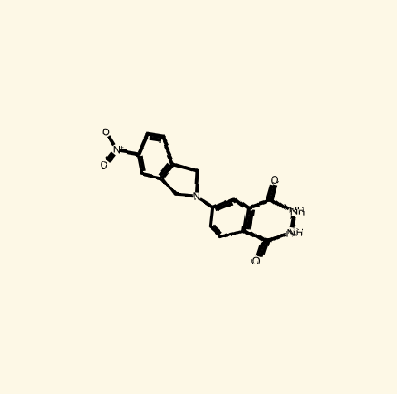 O=c1[nH][nH]c(=O)c2cc(N3Cc4ccc([N+](=O)[O-])cc4C3)ccc12